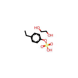 CCc1ccc(OS(=O)(=O)O)cc1.OCCO